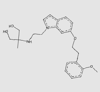 COc1ccccc1CCOc1ccc2ccn(CCNC(C)(CO)CO)c2c1